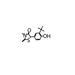 C=C1SC(c2ccc(O)c(C(C)(C)C)c2)C(=O)N1C